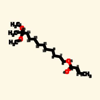 CC=CC(=O)OCCCCCCCCCC[Si](C)(OC)OC